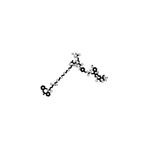 CC[C@@]1(O)C(=O)OCc2c1cc1n(c2=O)Cc2c-1nc1ccc(OC)cc1c2CNC(=O)OCc1ccc(NC(=O)[C@H](CCCNC(N)=O)NC(=O)[C@@H](NC(=O)CCOCCOCCOCCOCCNC(=O)CCC(=O)N2Cc3ccccc3/C=C(/C)c3ccccc32)C(C)C)cc1